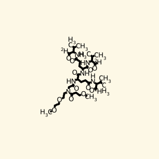 [2H]C(=O)C(NC(=O)CCC(NC(=O)CN(CCOCCOC)C(=O)CCOC)C(=O)NC(CCC(=O)NC(C([2H])=O)C(C)C)C(=O)NC(C([2H])=O)C(C)C)C(C)C